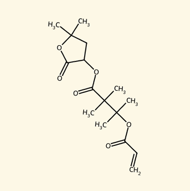 C=CC(=O)OC(C)(C)C(C)(C)C(=O)OC1CC(C)(C)OC1=O